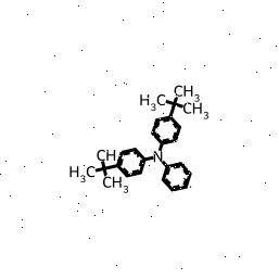 CC(C)(C)c1ccc(N(c2cc[c]cc2)c2ccc(C(C)(C)C)cc2)cc1